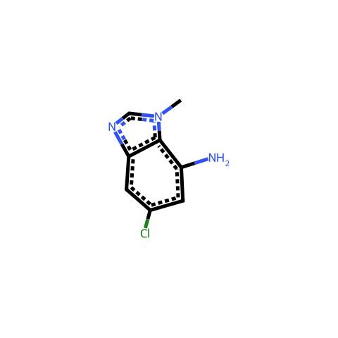 Cn1cnc2cc(Cl)cc(N)c21